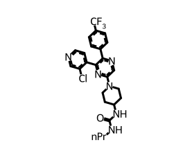 CCCNC(=O)NC1CCN(c2cnc(-c3ccc(C(F)(F)F)cc3)c(-c3ccncc3Cl)n2)CC1